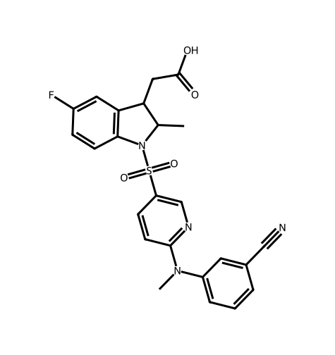 CC1C(CC(=O)O)c2cc(F)ccc2N1S(=O)(=O)c1ccc(N(C)c2cccc(C#N)c2)nc1